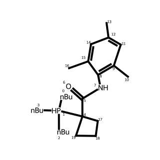 CCCC[PH](CCCC)(CCCC)C1(C(=O)Nc2c(C)cc(C)cc2C)CCC1